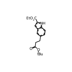 CCOC(=O)c1cc2cc(CCC(=O)OC(C)(C)C)ccc2[nH]1